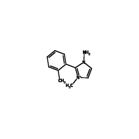 Cc1ccccc1-c1n(N)cc[n+]1C